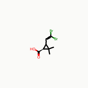 CC1(C)C(C=C(Br)Br)[C@@H]1C(=O)O